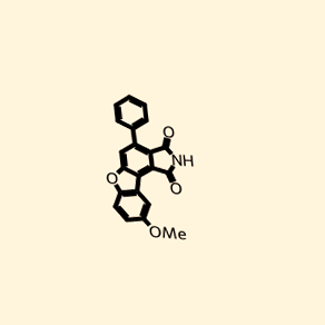 COc1ccc2oc3cc(-c4ccccc4)c4c(c3c2c1)C(=O)NC4=O